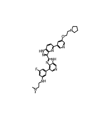 CN(C)CCNc1cc(F)cc(-c2cncc3[nH]c(-c4n[nH]c5ccc(-c6cncc(OCCN7CCCC7)c6)nc45)nc23)c1